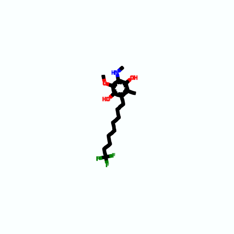 CNc1c(O)c(C)c(CCCCCCCCC(F)(F)F)c(O)c1OC